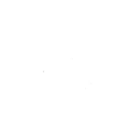 Cn1cc(-c2cnc3cc(F)c(CN)cc3c2)cn1